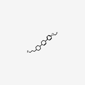 FCCCC1CCC(C2C=CC(c3ccc(OCF)cc3)CC2)CC1